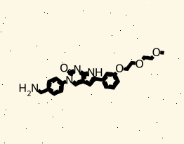 COCCOCCOc1cccc(-c2cc3cn(-c4ccc(CN)cc4)c(=O)nc3[nH]2)c1